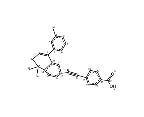 Cc1cccc(C2=CCC(C)(C)c3ccc(C#Cc4ccc(C(=O)O)cc4)cc32)c1